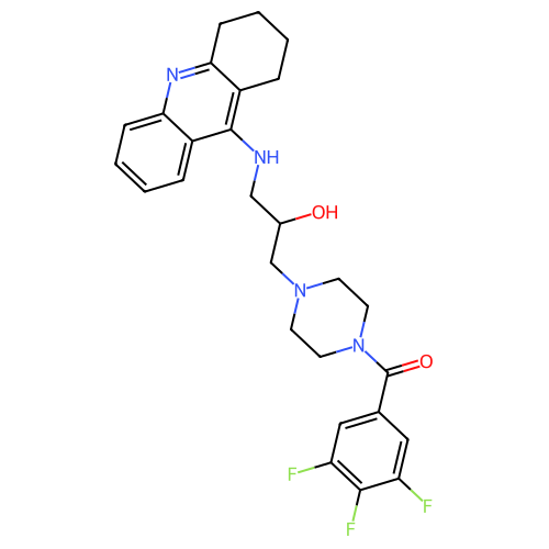 O=C(c1cc(F)c(F)c(F)c1)N1CCN(CC(O)CNc2c3c(nc4ccccc24)CCCC3)CC1